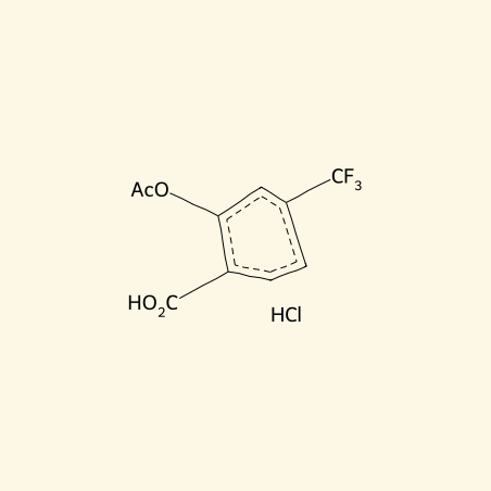 CC(=O)Oc1cc(C(F)(F)F)ccc1C(=O)O.Cl